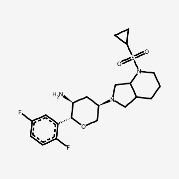 N[C@H]1C[C@@H](N2CC3CCCN(S(=O)(=O)C4CC4)C3C2)CO[C@@H]1c1cc(F)ccc1F